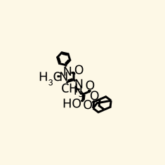 Cc1c(N=NC2=C(O)OC3(OC2=O)C2CC4CC(C2)CC3C4)c(=O)n(-c2ccccc2)n1C